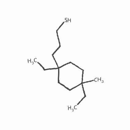 CCC1(C)CCC(CC)(CCCS)CC1